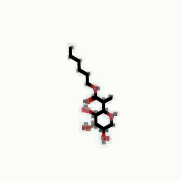 CCCCCCOC(=O)C(C)C1OC[C@@H](O)[C@H](O)[C@H]1O